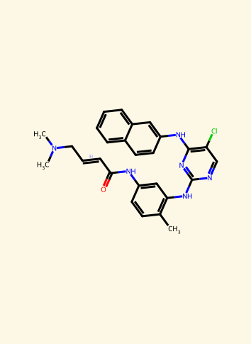 Cc1ccc(NC(=O)/C=C/CN(C)C)cc1Nc1ncc(Cl)c(Nc2ccc3ccccc3c2)n1